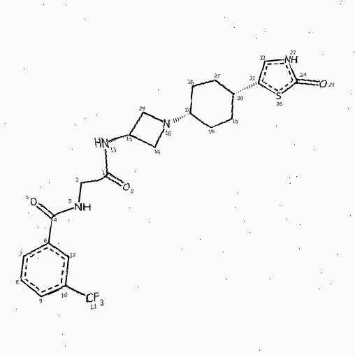 O=C(CNC(=O)c1cccc(C(F)(F)F)c1)NC1CN([C@H]2CC[C@@H](c3c[nH]c(=O)s3)CC2)C1